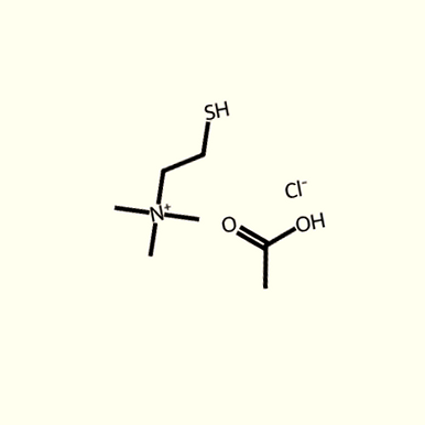 CC(=O)O.C[N+](C)(C)CCS.[Cl-]